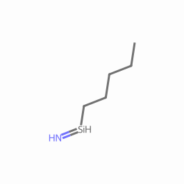 CCCCC[SiH]=N